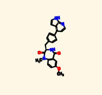 COc1ccc2c(c1)C(=O)NC(Cc1ccc(-c3ccnc4[nH]ccc34)cc1)C(=O)N2C